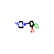 COc1cc(N2CCNCC2)ccc1Cl